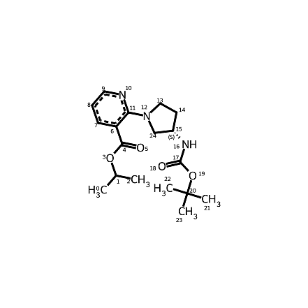 CC(C)OC(=O)c1cccnc1N1CC[C@H](NC(=O)OC(C)(C)C)C1